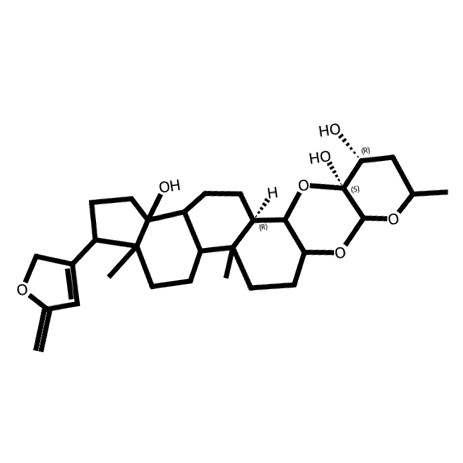 C=C1C=C(C2CCC3(O)C4CC[C@H]5C6O[C@]7(O)C(OC(C)C[C@H]7O)OC6CCC5(C)C4CCC23C)CO1